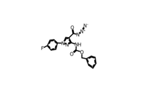 [N-]=[N+]=NC(=O)c1cn(-c2ccc(F)cc2)nc1NC(=O)OCc1ccccc1